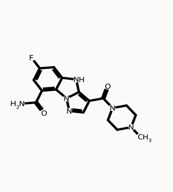 CN1CCN(C(=O)c2cnn3c2[nH]c2cc(F)cc(C(N)=O)c23)CC1